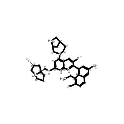 CCc1c(F)ccc2cc(O)cc(-c3nc4nc(OC[C@@]56CCCN5C[C@H](F)C6)cc(N5CCC6CNC(C6)C5)c4cc3F)c12